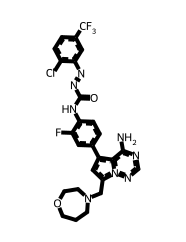 Nc1ncnn2c(CN3CCCOCC3)cc(-c3ccc(NC(=O)N=Nc4cc(C(F)(F)F)ccc4Cl)c(F)c3)c12